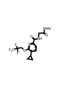 CNC(=O)CNC(=O)c1ccc(C2CC2)c(OCC(F)(F)C(F)(F)F)n1